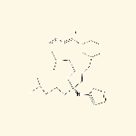 C=CC=CCCC.CC(C)CCCP(CCCC(C)C)(CCCC(C)C)=NC1=CC=CC1.[Ti]